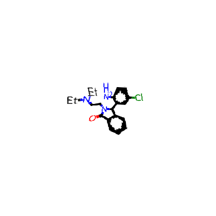 CCN(CC)CCN1C(=O)c2ccccc2C1c1cc(Cl)ccc1N